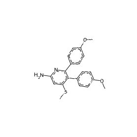 COc1ccc(-c2nc(N)cc(SC)c2-c2ccc(OC)cc2)cc1